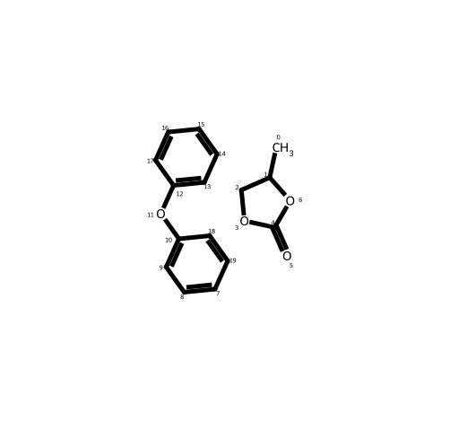 CC1COC(=O)O1.c1ccc(Oc2ccccc2)cc1